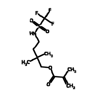 C=C(C)C(=O)OCC(C)(C)CCNS(=O)(=O)C(F)(F)F